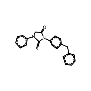 O=C1CN(c2ccccc2)C(=S)N1c1ccc(Cc2ccccc2)cc1